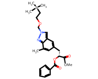 COC(=O)[C@@H](Cc1cc(C)c2nn(COCC[Si](C)(C)C)cc2c1)OC(=O)c1ccccc1